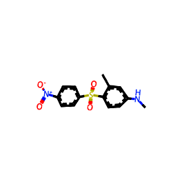 CNc1ccc(S(=O)(=O)c2ccc([N+](=O)[O-])cc2)c(C)c1